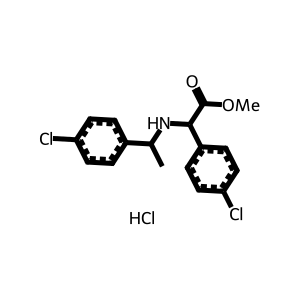 COC(=O)C(NC(C)c1ccc(Cl)cc1)c1ccc(Cl)cc1.Cl